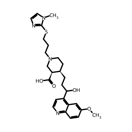 COc1ccc2nccc(C(O)CC[C@@H]3CCN(CCCSc4nccn4C)C[C@@H]3C(=O)O)c2c1